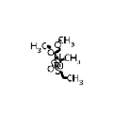 CCCSP(=O)(OCC)ON=C(COC)OCC